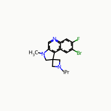 CC(C)N1CC2(CN(C)c3cnc4cc(F)c(Br)cc4c32)C1